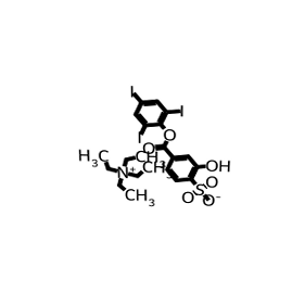 CC[N+](CC)(CC)CC.O=C(Oc1c(I)cc(I)cc1I)c1ccc(S(=O)(=O)[O-])c(O)c1